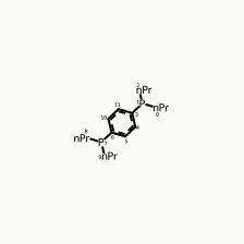 CCCP(CCC)c1ccc(P(CCC)CCC)cc1